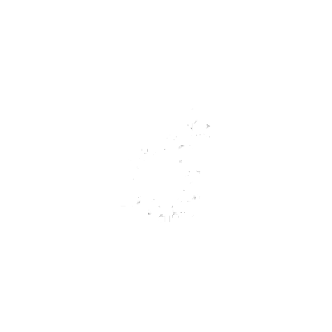 Cc1nc(C=C(Cl)[C@@H]2CC3OC3(Cl)CCC[C@H](C)[C@H](O)[C@@H](C)C(=O)C3(CCC3)[C@@H](O)CC(=O)O2)cs1